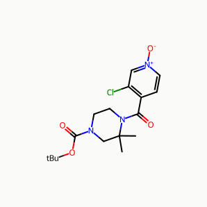 CC(C)(C)OC(=O)N1CCN(C(=O)c2cc[n+]([O-])cc2Cl)C(C)(C)C1